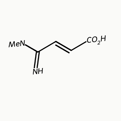 CNC(=N)/C=C/C(=O)O